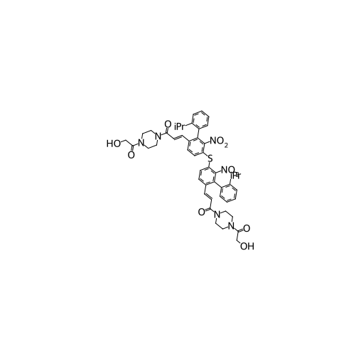 CC(C)c1ccccc1-c1c(/C=C/C(=O)N2CCN(C(=O)CO)CC2)ccc(Sc2ccc(/C=C/C(=O)N3CCN(C(=O)CO)CC3)c(-c3ccccc3C(C)C)c2[N+](=O)[O-])c1[N+](=O)[O-]